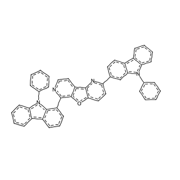 c1ccc(-n2c3ccccc3c3ccc(-c4ccc5oc6c(-c7cccc8c9ccccc9n(-c9ccccc9)c78)nccc6c5n4)cc32)cc1